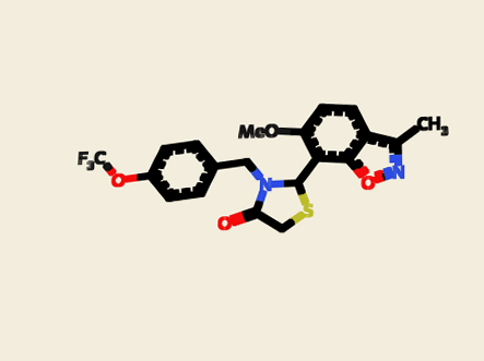 COc1ccc2c(C)noc2c1C1SCC(=O)N1Cc1ccc(OC(F)(F)F)cc1